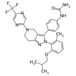 Cc1cccc(OCC(C)C)c1-n1nc2c(c1-c1ccc(NC(N)=O)cc1)CN(c1cnc(C(F)(F)F)cn1)CC2